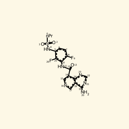 CCCS(=O)(=O)Nc1ccc(F)c(NC(=O)c2cncc3c(N)ncnc23)c1F